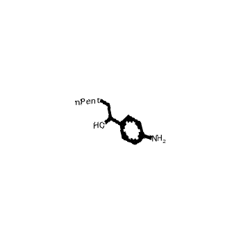 CCCCCCC(O)c1ccc(N)cc1